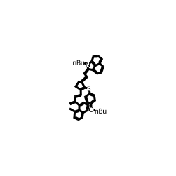 C=C(/C=C/C1=C(Sc2ccc(OCCCC)cc2)C(=C/C=c2\c3cccc4cccc(c43)n2CCCC)/CC1)c1cccc2cccc(C)c12